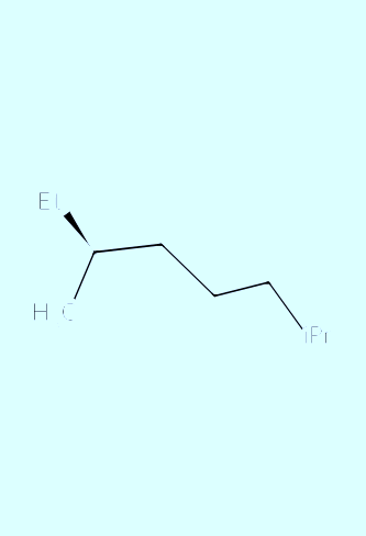 [CH2]C[C@H](C)CCCC(C)C